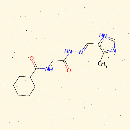 Cc1nc[nH]c1/C=N/NC(=O)CNC(=O)C1CCCCC1